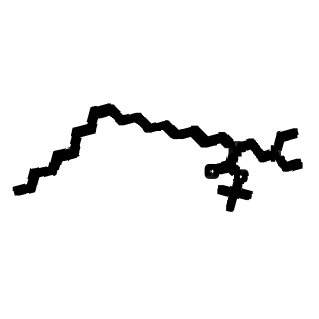 CCCCCCCC/C=C\CCCCCCCCN(CCN(CC)CC)C(=O)OC(C)(C)C